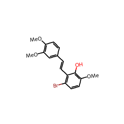 COc1ccc(C=Cc2c(Br)ccc(OC)c2O)cc1OC